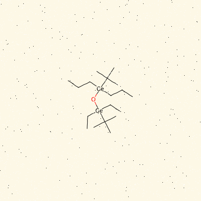 CC[CH2][Ge]([CH2]CC)([O][Ge]([CH2]C)([CH2]C)[C](C)(C)C)[C](C)(C)C